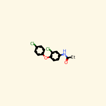 CCC(=O)Nc1ccc(Oc2ccc(Cl)cc2)c(Cl)c1